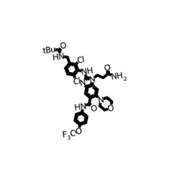 CC(C)(C)C(=O)NCc1ccc(Cl)c(Nc2nc3cc(C(=O)Nc4ccc(OC(F)(F)F)cc4)c(N4CCOCC4)cc3n2CCC(N)=O)c1Cl